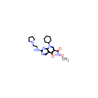 CONC(=O)c1cn(C2CCCCC2)c2nc(NCCN3CCCC3)ncc2c1=O